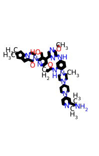 C=CC(=O)Nc1cc(Nc2nc(-c3ccnc(N4CCn5c(cc6c5CC(C)(C)C6)C4=O)c3CO)cnc2OC)ccc1N1CCN(C2CCN(c3ccnc(C(C)(C)N)c3)CC2)C[C@@H]1C